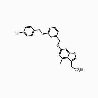 CCOC(=O)Cc1csc2cc(OCc3cccc(OCc4ccc(C(F)(F)F)cc4)c3)cc(C)c12